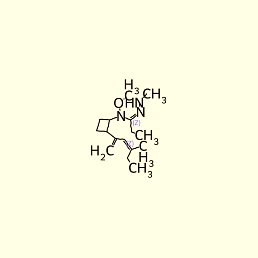 C=C(/C=C(/C)CC)C1CCC1N(OC)/C(CC)=N\NC